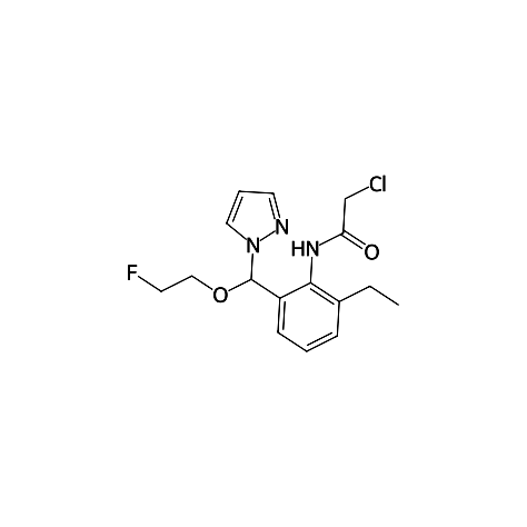 CCc1cccc(C(OCCF)n2cccn2)c1NC(=O)CCl